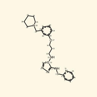 C1=NN=C(NSc2ccccn2)[SH]1NCCCOc1cccc(CN2CCCCC2)c1